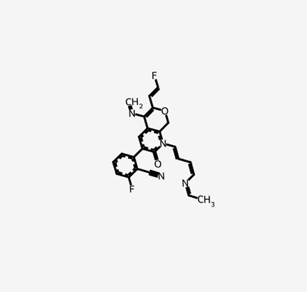 C=NC1=C(/C=C/F)OCc2c1cc(-c1cccc(F)c1C#N)c(=O)n2/C=C/C=C\N=C/C